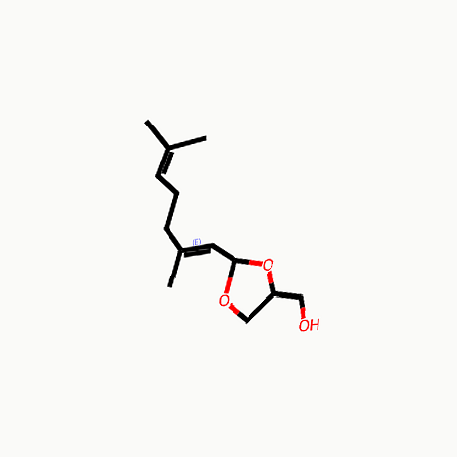 CC(C)=CCC/C(C)=C/C1OCC(CO)O1